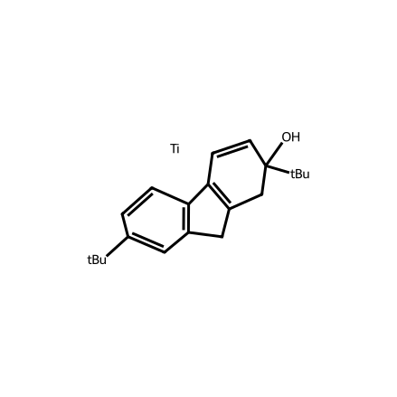 CC(C)(C)c1ccc2c(c1)CC1=C2C=CC(O)(C(C)(C)C)C1.[Ti]